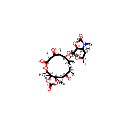 CC[C@H]1OC(=O)[C@H](C)C(=O)[C@H](C)[C@@H](OC2O[C@H](C)C[C@H]3C2OC(=O)N3C)[C@](C)(OC)C[C@@H](C)C(=O)[C@H](C)[C@H]2OC(=O)O[C@@]21C